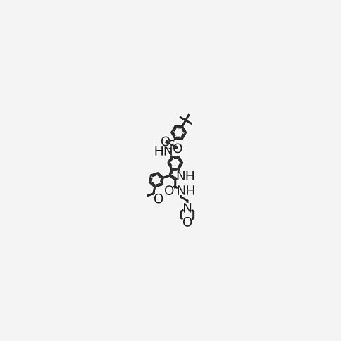 CC(=O)c1cccc(-c2c(C(=O)NCCN3CCOCC3)[nH]c3ccc(NS(=O)(=O)c4ccc(C(C)(C)C)cc4)cc23)c1